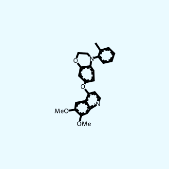 COc1cc2nccc(Oc3ccc4c(c3)OCCN4c3ccccc3C)c2cc1OC